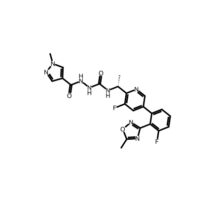 Cc1nc(-c2c(F)cccc2-c2cnc([C@@H](C)NC(=O)NNC(=O)c3cnn(C)c3)c(F)c2)no1